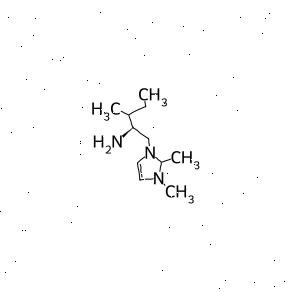 CCC(C)[C@H](N)CN1C=CN(C)C1C